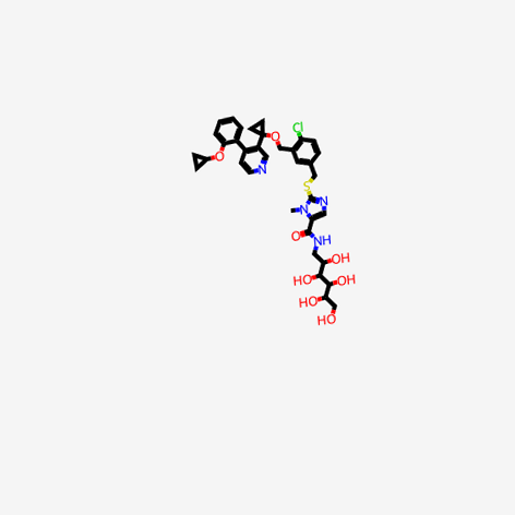 Cn1c(C(=O)NCC(O)C(O)C(O)C(O)CO)cnc1SCc1ccc(Cl)c(COC2(c3cnccc3-c3ccccc3OC3CC3)CC2)c1